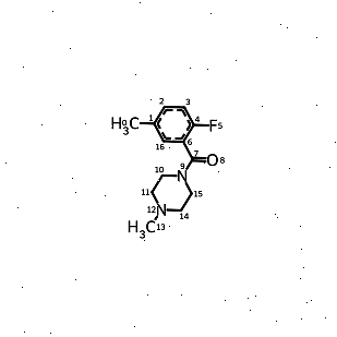 Cc1ccc(F)c(C(=O)N2CCN(C)CC2)c1